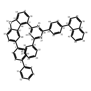 c1ccc(-c2ccc(-c3ccc4oc5cccc(-c6nc(-c7ccccc7)nc(-c7ccc(-c8cccc9ccccc89)cc7)n6)c5c4c3)cc2)cc1